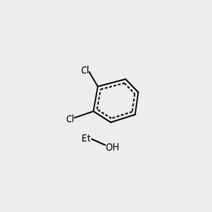 CCO.Clc1ccccc1Cl